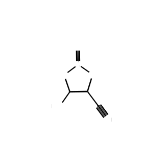 C#CC1OS(=O)OC1C(F)(F)F